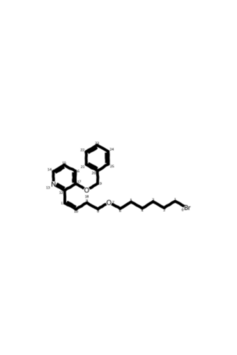 BrCCCCCCOCC/C=C\c1ncccc1OCc1ccccc1